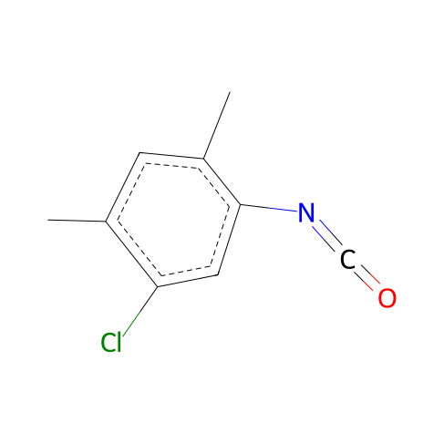 Cc1cc(C)c(N=C=O)cc1Cl